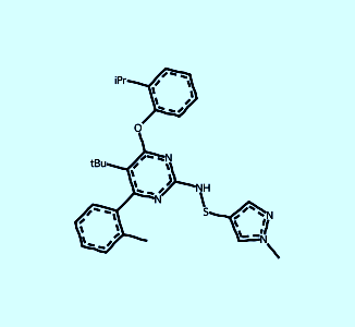 Cc1ccccc1-c1nc(NSc2cnn(C)c2)nc(Oc2ccccc2C(C)C)c1C(C)(C)C